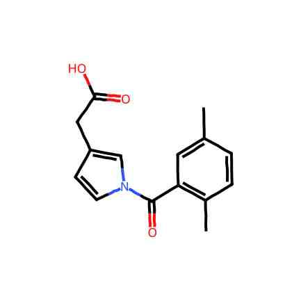 Cc1ccc(C)c(C(=O)n2ccc(CC(=O)O)c2)c1